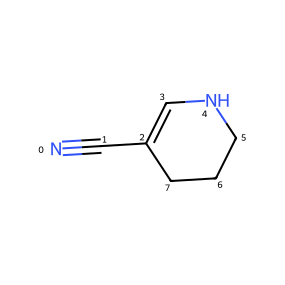 N#CC1=CNCCC1